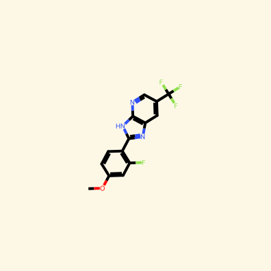 COc1ccc(-c2nc3cc(C(F)(F)F)cnc3[nH]2)c(F)c1